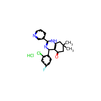 CC1(C)CC(=O)C2=C(C1)NC(c1cccnc1)=NC2c1ccc(F)cc1Cl.Cl